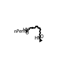 CCCCCC(=O)NCCC#CC/C=C\C/C=C\CCCC(=O)NC1CC1